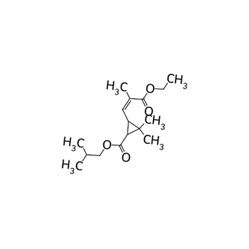 CCOC(=O)C(C)=CC1C(C(=O)OCC(C)C)C1(C)C